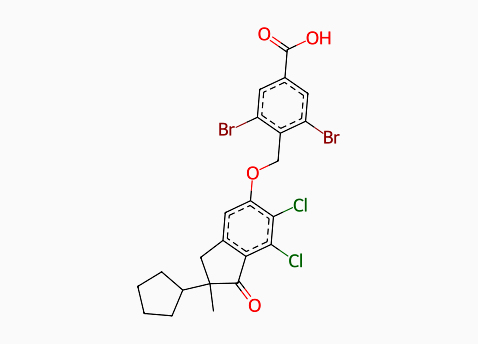 CC1(C2CCCC2)Cc2cc(OCc3c(Br)cc(C(=O)O)cc3Br)c(Cl)c(Cl)c2C1=O